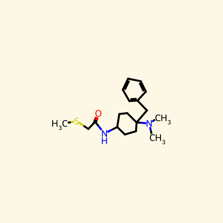 CSCC(=O)NC1CCC(Cc2ccccc2)(N(C)C)CC1